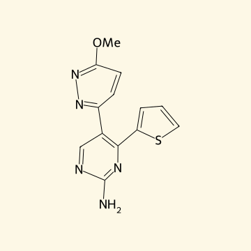 COc1ccc(-c2cnc(N)nc2-c2cccs2)nn1